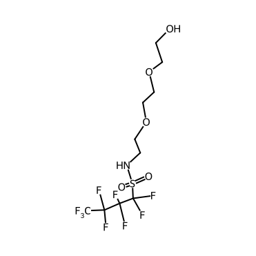 O=S(=O)(NCCOCCOCCO)C(F)(F)C(F)(F)C(F)(F)C(F)(F)F